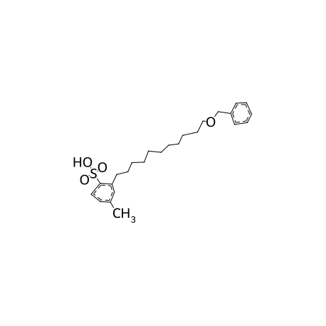 Cc1ccc(S(=O)(=O)O)c(CCCCCCCCCCCOCc2ccccc2)c1